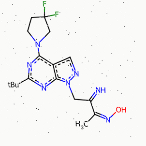 C/C(=N/O)C(=N)Cn1ncc2c(N3CCC(F)(F)C3)nc(C(C)(C)C)nc21